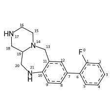 Fc1ccccc1-c1ccc2c(c1)CN1CCNCC1CN2